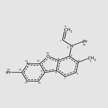 C=CN(c1c(C)ccc2c1oc1nc(C(C)C)ccc12)C(C)C